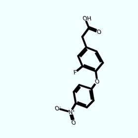 O=C(O)Cc1ccc(Oc2ccc([N+](=O)[O-])cc2)c(F)c1